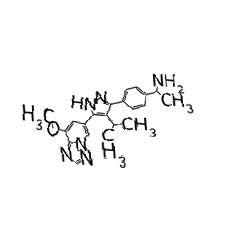 COc1cc(-c2[nH]nc(-c3ccc(C(C)N)cc3)c2C(C)C)cn2ncnc12